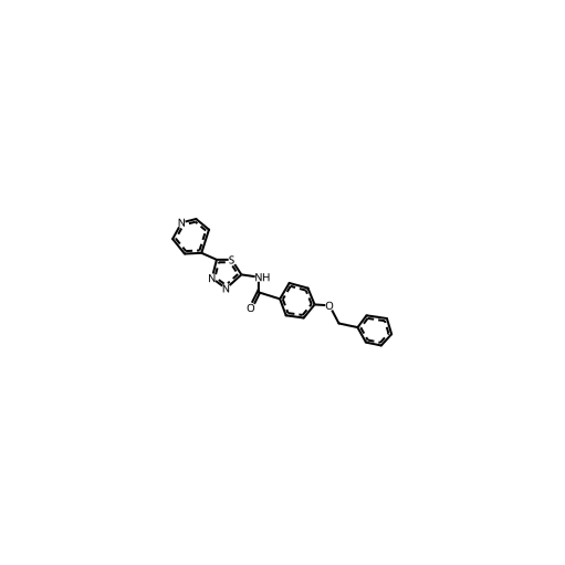 O=C(Nc1nnc(-c2ccncc2)s1)c1ccc(OCc2ccccc2)cc1